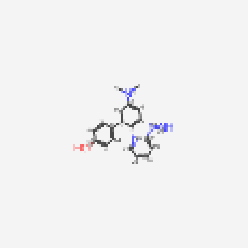 CN(C)c1cccc(-c2ccc(O)cc2)c1.N=Nc1ccccn1